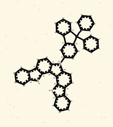 c1ccc(C2(c3ccccc3)c3ccccc3-c3cc(-n4c5ccc6c7ccccc7sc6c5c5c6sc7ccccc7c6ccc54)ccc32)cc1